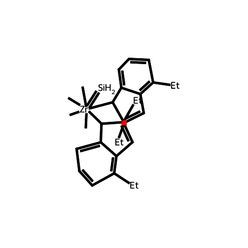 CCC1=Cc2c(CC)cccc2[CH]1[Zr]([CH3])([CH3])([CH3])([CH3])(=[SiH2])[CH]1C(CC)=Cc2c(CC)cccc21